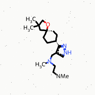 CNCCN(C)Cc1c[nH]nc1[C@H]1CC[C@]2(CC1)CC(C)(C)CO2